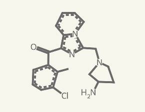 Cc1c(Cl)cccc1C(=O)c1nc(CN2CCC(N)C2)n2ccccc12